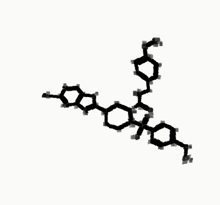 CC(=O)c1ncc2sc(N3CCN(S(=O)(=O)c4ccc(OC(F)(F)F)cc4)[C@@H](C(=O)NCc4ccc(OC(F)(F)F)cc4)C3)nc2n1